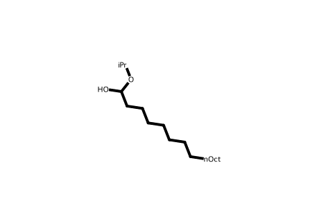 CCCCCCCCCCCCCCCC(O)OC(C)C